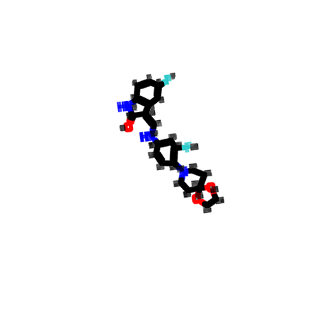 O=C1Nc2ccc(F)cc2C1=CNc1ccc(N2CCC3(CC2)OCCO3)c(F)c1